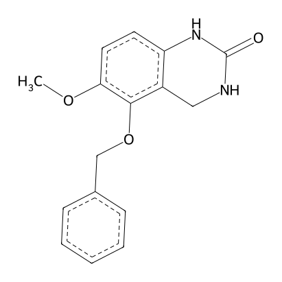 COc1ccc2c(c1OCc1ccccc1)CNC(=O)N2